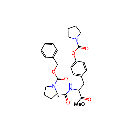 COC(=O)C(Cc1ccc(OC(=O)N2CCCC2)cc1)NC(=O)[C@@H]1CCCN1C(=O)OCc1ccccc1